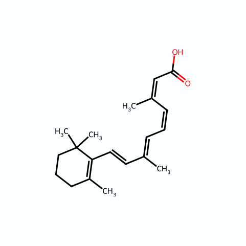 CC(C=CC1=C(C)CCCC1(C)C)=C/C=C\C(C)=C/C(=O)O